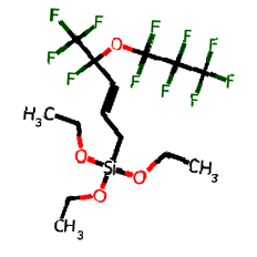 CCO[Si](CC=CC(F)(OC(F)(F)C(F)(F)C(F)(F)F)C(F)(F)F)(OCC)OCC